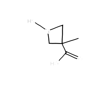 CC1(C(=O)O)CN(S)C1